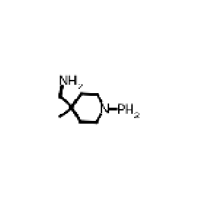 CC1(CN)CCN(P)CC1